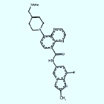 CNCC1CCN(c2ccc(C(=O)Nc3cc(F)c4nc(C)cn4c3)c3nccnc23)CC1